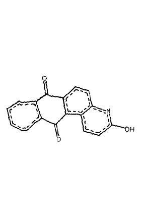 O=C1c2ccccc2C(=O)c2c1ccc1nc(O)ccc21